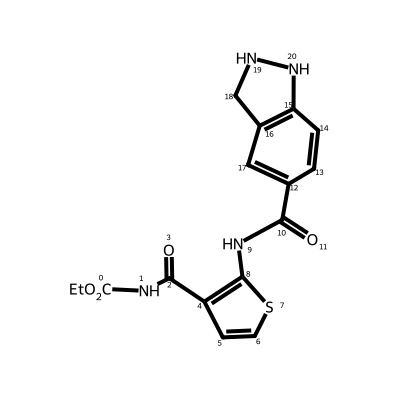 CCOC(=O)NC(=O)c1ccsc1NC(=O)c1ccc2c(c1)CNN2